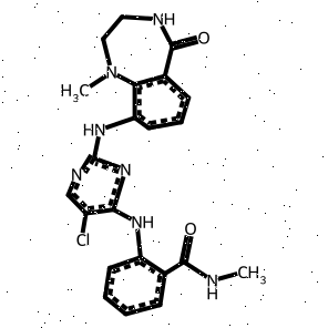 CNC(=O)c1ccccc1Nc1nc(Nc2cccc3c2N(C)CCNC3=O)ncc1Cl